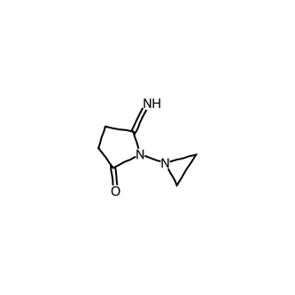 N=C1CCC(=O)N1N1CC1